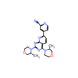 C[C@H]1COCCN1c1nc(N2CCOC[C@@H]2C)c2ccc(-c3ccnc(C#N)c3)nc2n1